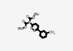 Cc1cccc(-c2ccc(N(C(=O)OC(C)(C)C)C(=O)OC(C)(C)C)nn2)c1